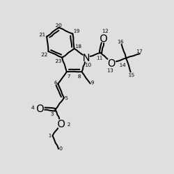 CCOC(=O)C=Cc1c(C)n(C(=O)OC(C)(C)C)c2ccccc12